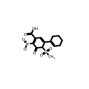 CS(=O)(=O)C1C(=O)C([N+](=O)[O-])=C(C(=O)O)C=C1C1=CCCCC1